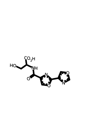 O=C(NC(CO)C(=O)O)c1coc(-c2cocn2)n1